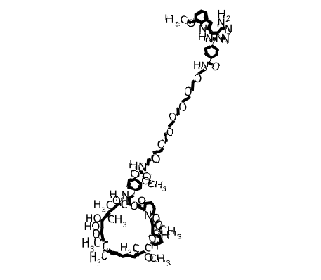 COc1cccc2cc(-c3nc([C@H]4CC[C@H](C(=O)NCCOCCOCCOCCOCCOCCOCCOCCNC(=O)O[C@@H]5CC[C@@H](C[C@@H](N)[C@@H]6C[C@@H](O)[C@H](C)/C=C(\C)[C@@H](O)[C@@H](O)C(=O)[C@H](C)C[C@H](C)/C=C/C=C/C=C(\C)[C@@H](OC)C[C@@H]7CC[C@@H](C)[C@@](O)(O7)C(=O)C(=O)N7CCCC[C@H]7C(=O)O6)C[C@H]5OC)CC4)n4ncnc(N)c34)[nH]c12